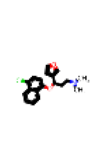 CN(C)CCC(Oc1ccc(Cl)c2ccccc12)c1ccoc1